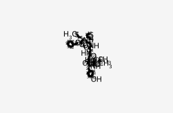 CSCC[C@H](NC(=O)[C@H](Cc1cccs1)NC(=O)CNC(=O)CNC(=O)[C@H](Cc1ccc(O)cc1)NC(=O)OC(C)(C)C)C(=O)OCc1ccccc1